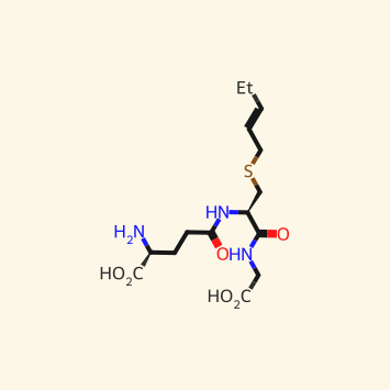 CC/C=C/CSC[C@H](NC(=O)CC[C@H](N)C(=O)O)C(=O)NCC(=O)O